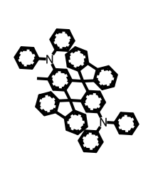 Cc1cc2c(cc1N(c1ccccc1)c1ccccc1)C1(c3ccccc3-c3ccccc31)c1ccc(N(c3ccccc3)c3ccccc3)cc1C21c2ccccc2-c2ccccc21